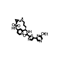 CCOc1cncc(-c2cnc(C(=O)N[C@H](CCCN(C)C)c3cc(NS(=O)(=O)C4CC4)ccn3)s2)n1